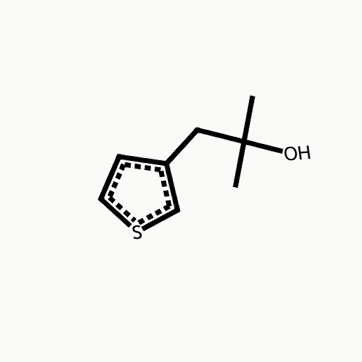 CC(C)(O)Cc1ccsc1